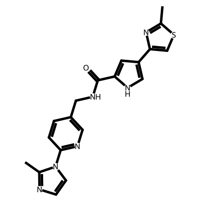 Cc1nc(-c2c[nH]c(C(=O)NCc3ccc(-n4ccnc4C)nc3)c2)cs1